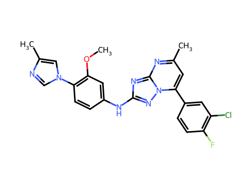 COc1cc(Nc2nc3nc(C)cc(-c4ccc(F)c(Cl)c4)n3n2)ccc1-n1cnc(C)c1